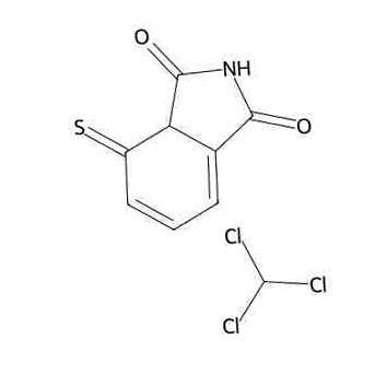 ClC(Cl)Cl.O=C1NC(=O)C2C(=S)C=CC=C12